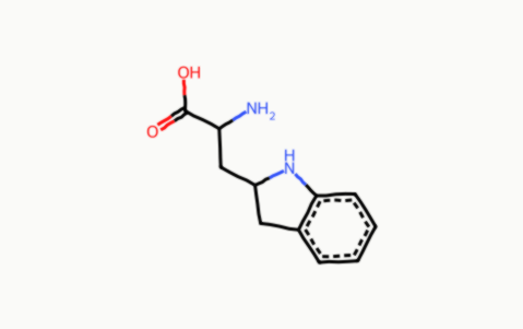 NC(CC1Cc2ccccc2N1)C(=O)O